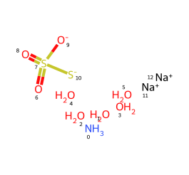 N.O.O.O.O.O.O=S(=O)([O-])[S-].[Na+].[Na+]